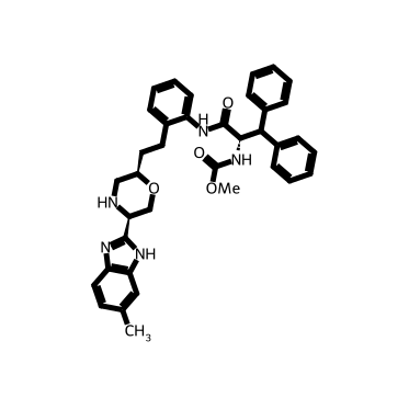 COC(=O)N[C@H](C(=O)Nc1ccccc1CC[C@@H]1CN[C@H](c2nc3ccc(C)cc3[nH]2)CO1)C(c1ccccc1)c1ccccc1